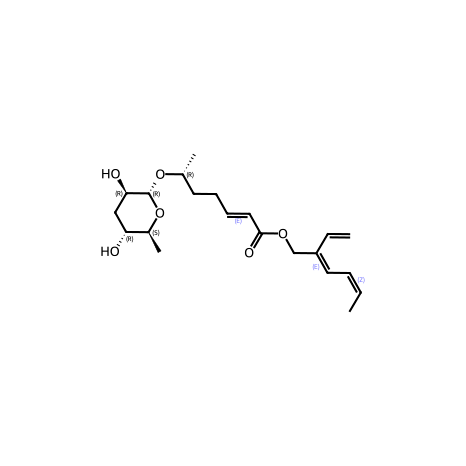 C=C/C(=C\C=C/C)COC(=O)/C=C/CC[C@@H](C)O[C@@H]1O[C@@H](C)[C@H](O)C[C@H]1O